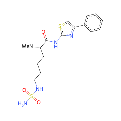 CN[C@@H](CCCCNS(N)(=O)=O)C(=O)Nc1nc(-c2ccccc2)cs1